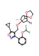 C[C@H]1C[C@@H]2C[C@@H](OCc3c(-c4ccccc4OC(F)F)noc3C3CC3)CC1C21OCCO1